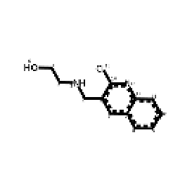 OCCNCc1cc2ccccc2nc1Cl